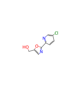 OCc1cnc(-c2ccc(Cl)cn2)o1